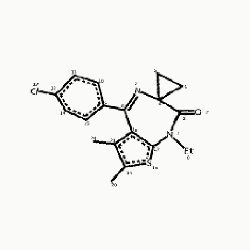 CCN1C(=O)C2(CC2)N=C(c2ccc(Cl)cc2)c2c1sc(C)c2C